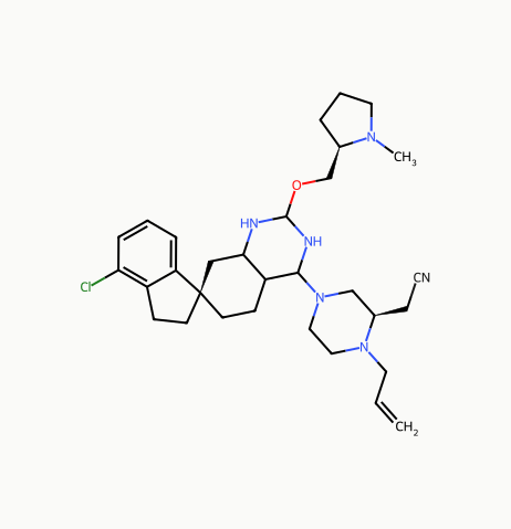 C=CCN1CCN(C2NC(OC[C@H]3CCCN3C)NC3C[C@]4(CCc5c(Cl)cccc54)CCC32)C[C@H]1CC#N